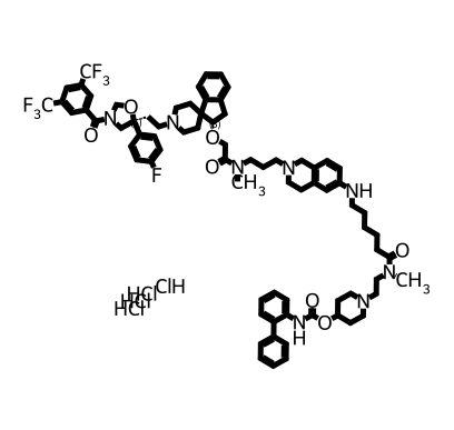 CN(CCN1CCC(OC(=O)Nc2ccccc2-c2ccccc2)CC1)C(=O)CCCCCNc1ccc2c(c1)CCN(CCCN(C)C(=O)CO[C@H]1Cc3ccccc3C13CCN(CC[C@]1(c4ccc(F)cc4)CN(C(=O)c4cc(C(F)(F)F)cc(C(F)(F)F)c4)CO1)CC3)C2.Cl.Cl.Cl.Cl